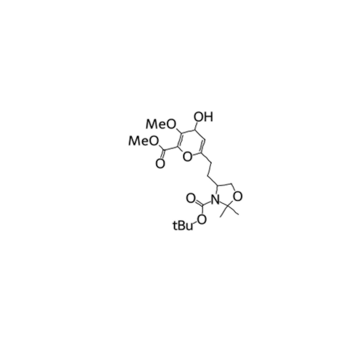 COC(=O)C1=C(OC)C(O)C=C(CCC2COC(C)(C)N2C(=O)OC(C)(C)C)O1